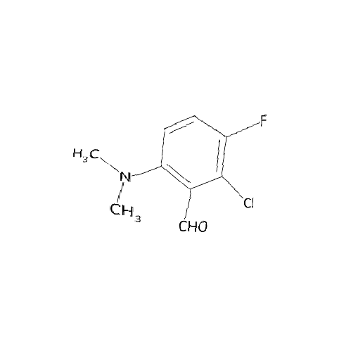 CN(C)c1ccc(F)c(Cl)c1C=O